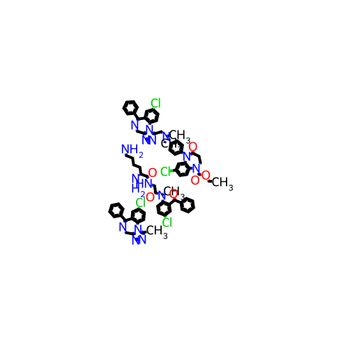 CCOC(=O)N1CCC(=O)N(c2ccccc2)c2cc(Cl)ccc21.CN(C(=O)CNC(=O)[C@@H](N)CCCCN)c1ccc(Cl)cc1C(=O)c1ccccc1.CN(C)Cc1nnc2n1-c1ccc(Cl)cc1C(c1ccccc1)=NC2.Cc1nnc2n1-c1ccc(Cl)cc1C(c1ccccc1)=NC2